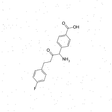 NC(C(=O)CCc1ccc(F)cc1)c1ccc(C(=O)O)cc1